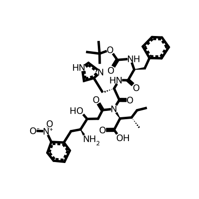 CC[C@H](C)[C@@H](C(=O)O)N(C(=O)CC(O)[C@@H](N)Cc1ccccc1[N+](=O)[O-])C(=O)[C@H](Cc1c[nH]cn1)NC(=O)[C@H](Cc1ccccc1)NC(=O)OC(C)(C)C